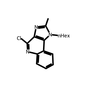 CCCCCCn1c(C)nc2c(Cl)nc3ccccc3c21